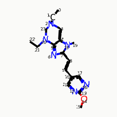 CCN1C=C2C(=NC(/C=C/c3cnc(OC)nc3)N2C)N(CC)C1